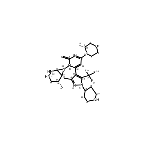 C=C1N=C(N2CCOC[C@H]2C)C=C(c2c(C)nn(C3CCNCC3)c2C(F)(F)F)N1N1C2NNC[C@@H](C)C21